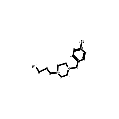 CCc1ccc(CN2CCN(CCCC(C)C)CC2)cc1